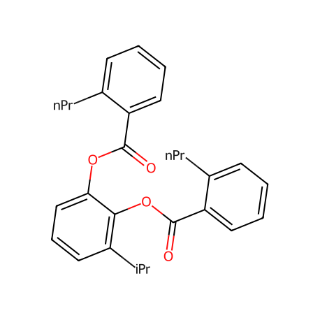 CCCc1ccccc1C(=O)Oc1cccc(C(C)C)c1OC(=O)c1ccccc1CCC